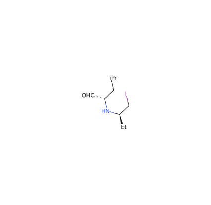 CC[C@H](CI)N[C@H](C=O)CC(C)C